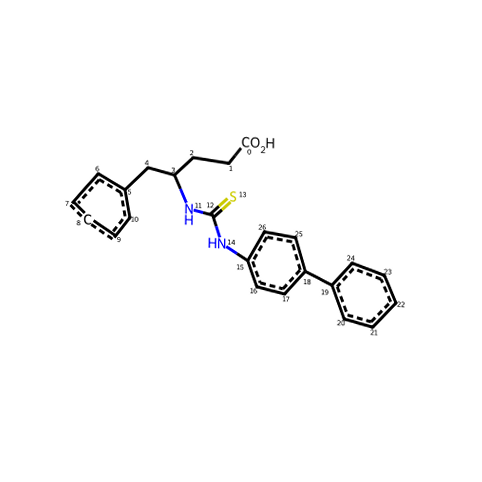 O=C(O)CCC(Cc1ccccc1)NC(=S)Nc1ccc(-c2ccccc2)cc1